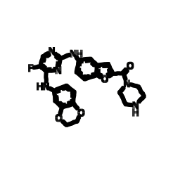 O=C(c1cc2cc(Nc3ncc(F)c(Nc4ccc5c(c4)OCCO5)n3)ccc2o1)N1CCNCC1